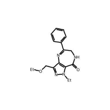 CCOCc1nn(CC)c2c1N=C(c1ccccc1)CNC2=O